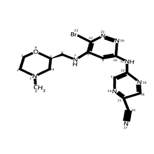 CN1CCO[C@@H](CNc2cc(Nc3cnc(C#N)cn3)nnc2Br)C1